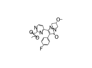 COC1Cn2c(-c3ccnc(S(C)(=O)=O)n3)c(-c3ccc(F)cc3)c(=O)n2C1